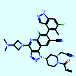 C=CC(=O)N1CC[C@H](n2nnc3c(N4CC(N(C)C)C4)nc4c(F)c(-c5c(C)c(Cl)cc6[nH]ncc56)c(C#N)cc4c32)C[C@H]1CC#N